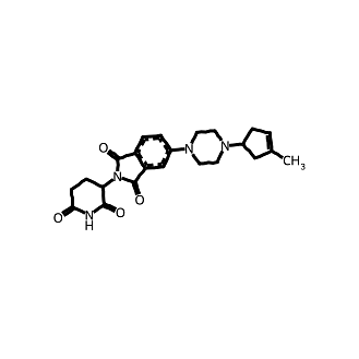 CC1=CCC(N2CCN(c3ccc4c(c3)C(=O)N(C3CCC(=O)NC3=O)C4=O)CC2)C1